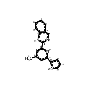 Cc1cc(-c2ncc3ccccc3n2)nc(-c2cccs2)c1